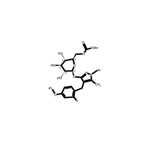 COC(=O)OC[C@H]1O[C@@H](Oc2nn(C(C)C)c(C)c2Cc2ccc(OC(C)C)cc2F)[C@H](O)[C@@H](O)[C@@H]1O